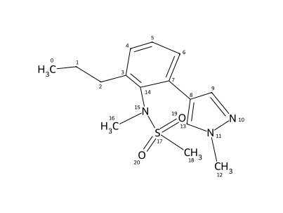 CCCc1cccc(-c2cnn(C)c2)c1N(C)S(C)(=O)=O